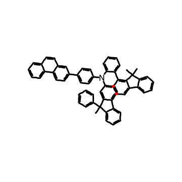 CC1(C)c2ccccc2-c2cccc(-c3ccccc3N(c3ccc(-c4ccc5c(ccc6ccccc65)c4)cc3)c3ccc4c(c3)C(C)(c3ccccc3)c3ccccc3-4)c21